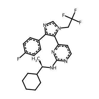 C[C@@H](Nc1nccc(-c2c(-c3ccc(F)cc3)ncn2CC(F)(F)F)n1)C1CCCCC1